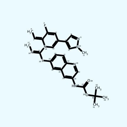 CC=C1C(F)=CC(c2cnn(C)c2)=CN1/C(=N\C)Sc1ccc2ncc(NC(=O)OC(C)(C)C)cc2c1